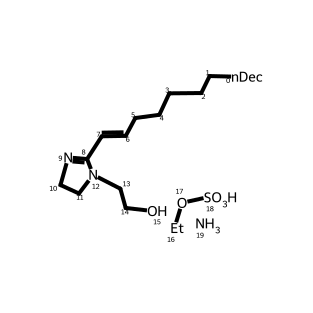 CCCCCCCCCCCCCCCC=CC1=NCCN1CCO.CCOS(=O)(=O)O.N